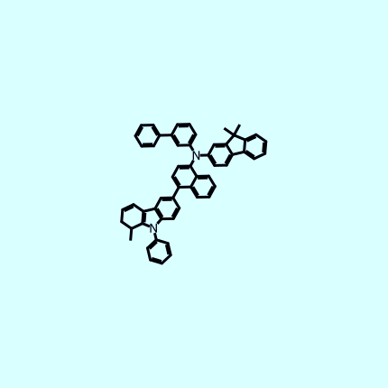 CC1CC=Cc2c1n(-c1ccccc1)c1ccc(-c3ccc(N(c4cccc(-c5ccccc5)c4)c4ccc5c(c4)C(C)(C)c4ccccc4-5)c4ccccc34)cc21